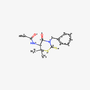 CCCCCCCCCC(=O)NC1C(=O)N(Cc2ccccc2)C(=S)SC1(C)C